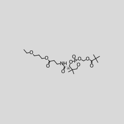 CCOCCCOC(=O)CCNC(=O)[C@@H]1OP(=O)(OCOC(=O)C(C)(C)C)OCC1(C)C